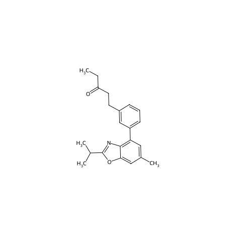 CCC(=O)CCc1cccc(-c2cc(C)cc3oc(C(C)C)nc23)c1